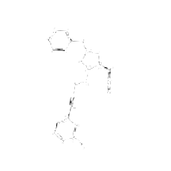 [N-]=[N+]=N[C@@H]1CN(Cc2ccccc2)C[C@H]1OCC#Cc1cccc(F)c1